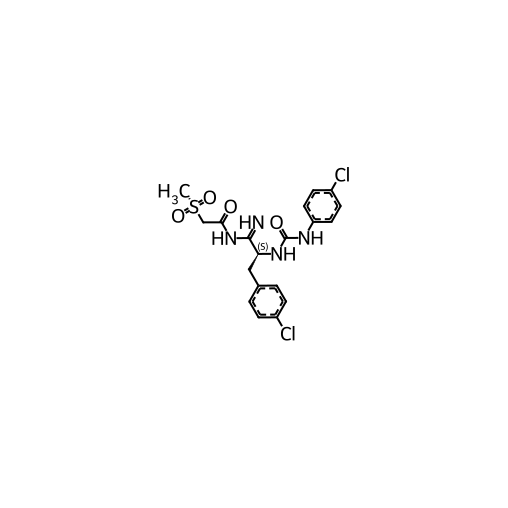 CS(=O)(=O)CC(=O)NC(=N)[C@H](Cc1ccc(Cl)cc1)NC(=O)Nc1ccc(Cl)cc1